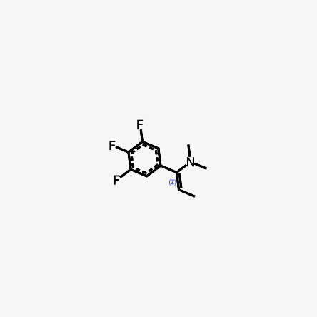 C/C=C(/c1cc(F)c(F)c(F)c1)N(C)C